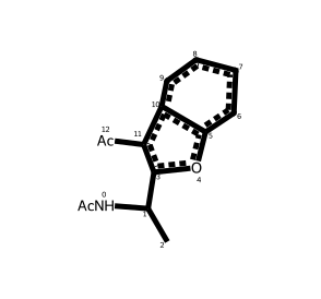 CC(=O)NC(C)c1oc2ccccc2c1C(C)=O